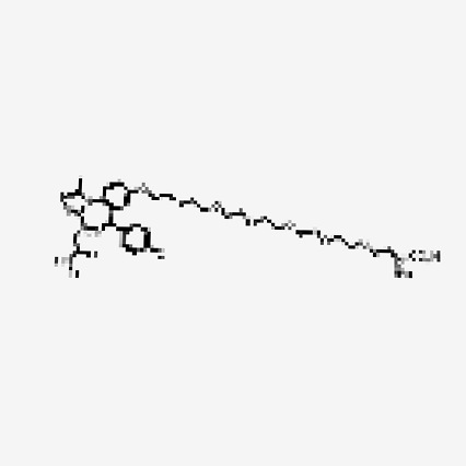 CCNC(=O)C[C@@H]1N=C(c2ccc(Cl)cc2)c2cc(OCCOCCOCCOCCOCCOCCOCCN(C(=O)O)C(C)(C)C)ccc2-n2c(C)nnc21